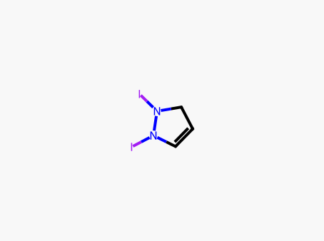 IN1C=CCN1I